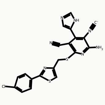 [C-]#[N+]c1c(N)nc(SCc2csc(-c3ccc(Cl)cc3)n2)c(C#N)c1-c1cnc[nH]1